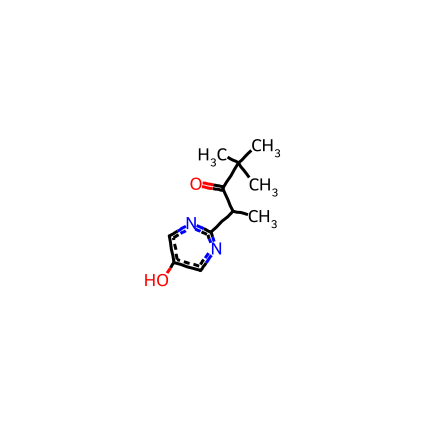 CC(C(=O)C(C)(C)C)c1ncc(O)cn1